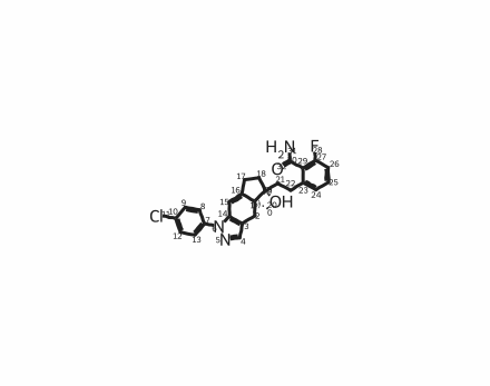 C[C@]12Cc3cnn(-c4ccc(Cl)cc4)c3C=C1CC[C@@]2(O)CCc1cccc(F)c1C(N)=O